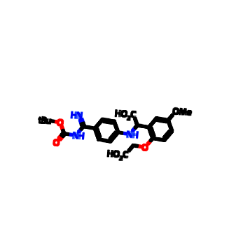 COc1ccc(OCC(=O)O)c(C(Nc2ccc(C(=N)NC(=O)OC(C)(C)C)cc2)C(=O)O)c1